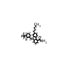 CCCCCc1c[c]c2c3c(C(N)=O)cccc3n(Cc3cccc(C(F)(F)F)c3F)c2c1